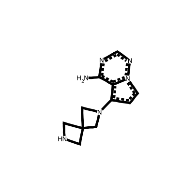 Nc1ncnn2ccc(N3CC4(CNC4)C3)c12